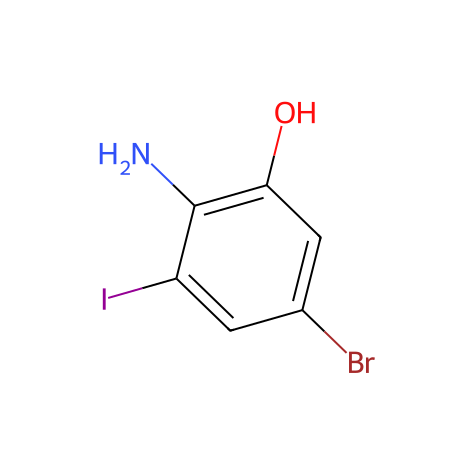 Nc1c(O)cc(Br)cc1I